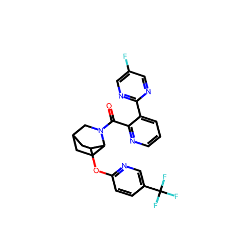 O=C(c1ncccc1-c1ncc(F)cn1)N1CC2CCC1C(Oc1ccc(C(F)(F)F)cn1)C2